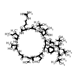 CC[C@H](C)[C@@H]1NC(=O)[C@@H](CCCNC(=N)N)NC(=O)[C@H](CC(C)(C)C)NC(=O)[C@H]([C@H](O)C(C)C)NC(=O)[C@@H](NC(=O)[C@H](CC(C)(C)C)NC(=O)[C@@H](CC(C)(C)C)NC(=O)OC(C)(C)C)[C@@H](c2ccccc2)NC(=O)C(CO)NC(=O)[C@H](CO)NC(=O)CNC(=O)[C@H]([C@H](C)O)NC1=O